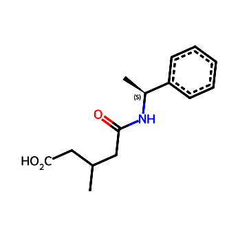 CC(CC(=O)O)CC(=O)N[C@@H](C)c1ccccc1